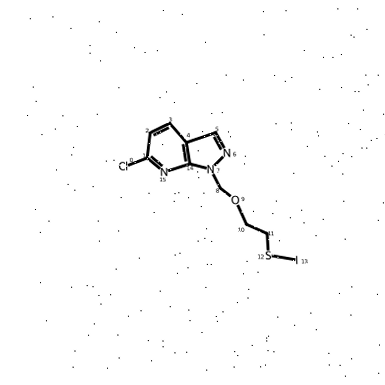 Clc1ccc2cnn(COCCSI)c2n1